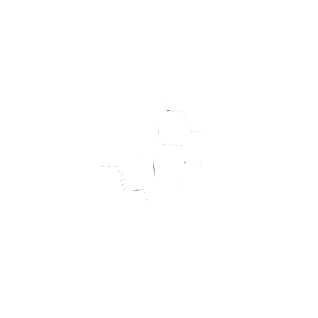 C=C1NC(C)=C(C(=O)OC)C(c2cc(Cl)c(O)c(OC)c2)N1